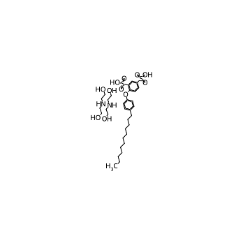 CCCCCCCCCCCCc1ccc(Oc2ccc(S(=O)(=O)O)cc2S(=O)(=O)O)cc1.OCCNCCO.OCCNCCO